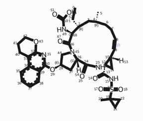 CC[C@@H]1C[C@H](C)CC/C=C\[C@@H]2C[C@@]2(C(=O)NS(=O)(=O)C2(C)CC2)NC(=O)[C@@H]2C[C@@H](Oc3nc4c(c5ccccc35)CCCO4)CN2C(=O)[C@H]1NC(=O)O